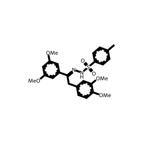 COc1cc(OC)cc(C(Cc2ccc(OC)c(OC)c2)=NNS(=O)(=O)c2ccc(C)cc2)c1